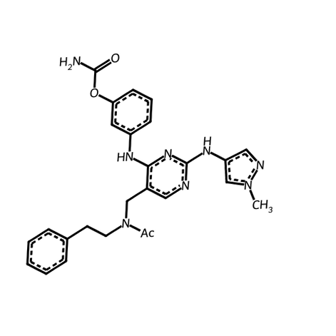 CC(=O)N(CCc1ccccc1)Cc1cnc(Nc2cnn(C)c2)nc1Nc1cccc(OC(N)=O)c1